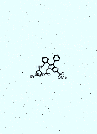 COC(=O)Cn1c(-c2ccccc2CNC2CCN(C(C)C)C2)c(-c2ccccc2)c2sc(C(=O)OC)cc21